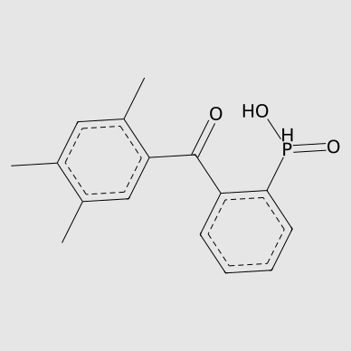 Cc1cc(C)c(C(=O)c2ccccc2[PH](=O)O)cc1C